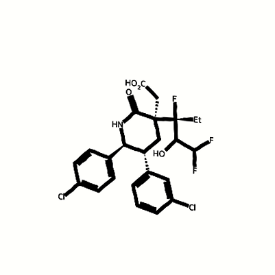 CC[C@@](F)(C(O)C(F)F)[C@@]1(CC(=O)O)C[C@H](c2cccc(Cl)c2)[C@@H](c2ccc(Cl)cc2)NC1=O